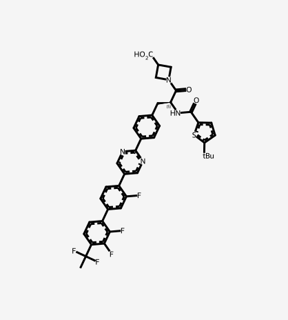 CC(C)(C)c1ccc(C(=O)N[C@@H](Cc2ccc(-c3ncc(-c4ccc(-c5ccc(C(C)(F)F)c(F)c5F)cc4F)cn3)cc2)C(=O)N2CC(C(=O)O)C2)s1